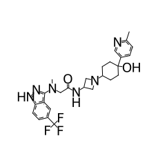 Cc1ccc(C2(O)CCC(N3CC(NC(=O)CN(C)c4n[nH]c5ccc(C(F)(F)F)cc45)C3)CC2)cn1